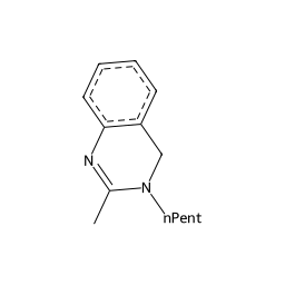 CCCCCN1Cc2ccccc2N=C1C